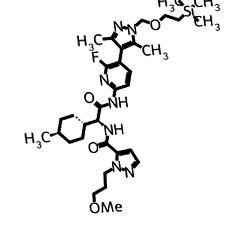 COCCCn1nccc1C(=O)N[C@H](C(=O)Nc1ccc(-c2c(C)nn(COCC[Si](C)(C)C)c2C)c(F)n1)[C@H]1CC[C@H](C)CC1